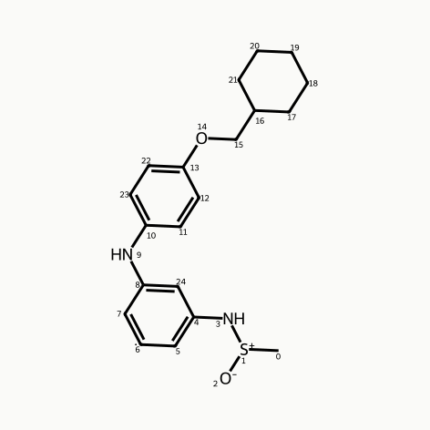 C[S+]([O-])Nc1c[c]cc(Nc2ccc(OCC3CCCCC3)cc2)c1